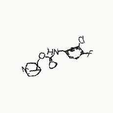 O=C(Nc1ccc(F)c(Cl)c1)OC1CN2CCC1CC2